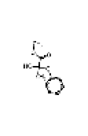 COC(=O)C(C)(O)Oc1ccccc1